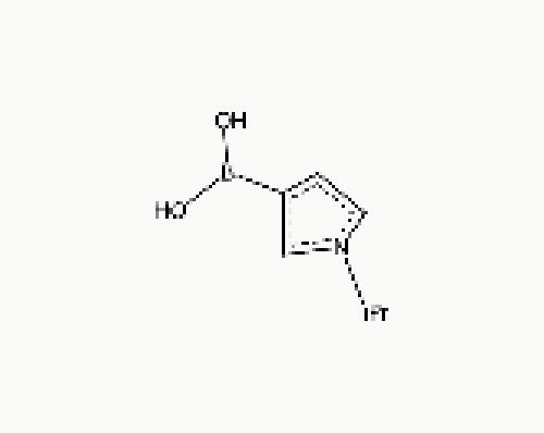 CC(C)n1ccc(B(O)O)c1